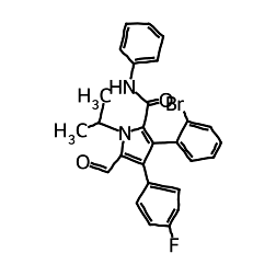 CC(C)n1c(C=O)c(-c2ccc(F)cc2)c(-c2ccccc2Br)c1C(=O)Nc1ccccc1